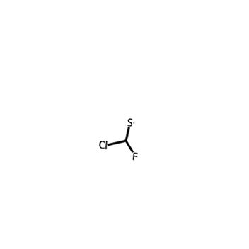 FC([S])Cl